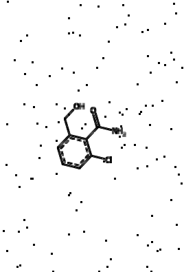 NC(=O)c1c(Cl)cccc1CO